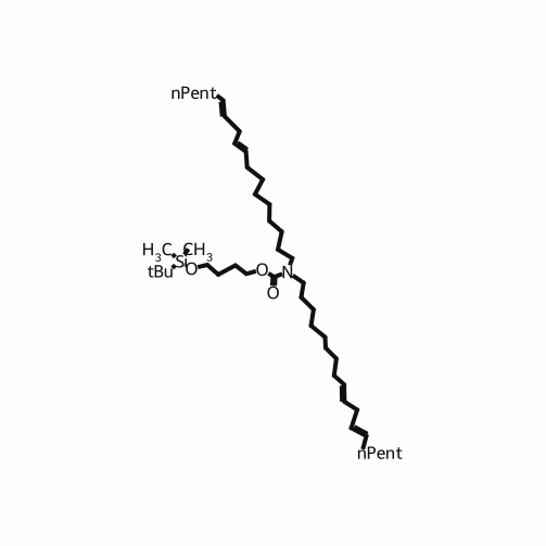 CCCCCC=CCC=CCCCCCCCCN(CCCCCCCCC=CCC=CCCCCC)C(=O)OCCCCO[Si](C)(C)C(C)(C)C